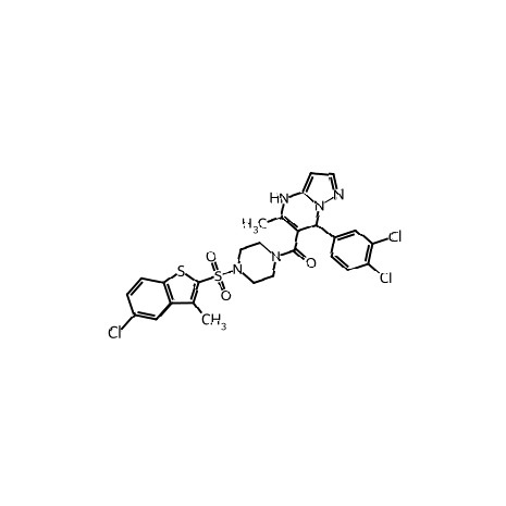 CC1=C(C(=O)N2CCN(S(=O)(=O)c3sc4ccc(Cl)cc4c3C)CC2)C(c2ccc(Cl)c(Cl)c2)n2nccc2N1